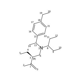 C=C(C)[C@@H](CC)CN(C(CC)CC)C(C)c1ccc(CC)cc1